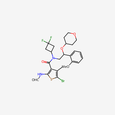 COc1ccccc1C(CN(C(=O)c1c(NC=O)sc(Br)c1C)C1CC(F)(F)C1)OC1CCOCC1